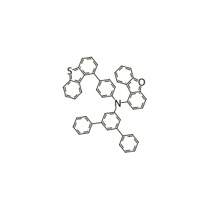 c1ccc(-c2cc(-c3ccccc3)cc(N(c3ccc(-c4cccc5sc6ccccc6c45)cc3)c3cccc4oc5ccccc5c34)c2)cc1